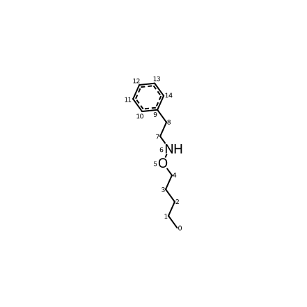 CCCCCONCCc1ccccc1